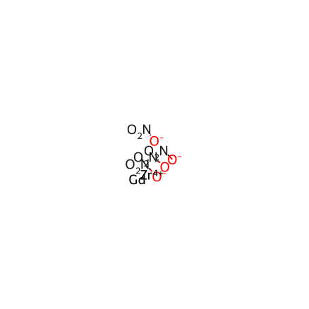 O=[N+]([O-])[O-].O=[N+]([O-])[O-].O=[N+]([O-])[O-].O=[N+]([O-])[O-].[Gd].[Zr+4]